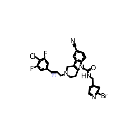 N#Cc1ccc2c(c1)c1c(n2C(=O)NCc2ccnc(Br)c2)CCN(C/C=C/c2cc(F)c(Cl)c(F)c2)C1